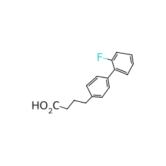 O=C(O)CCCc1ccc(-c2ccccc2F)cc1